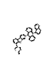 C=C/C=C\C(=C/C)c1cccc2c1oc1cc(-c3c4ccccc4c(-c4cccc5ccccc45)c4ccccc34)ccc12